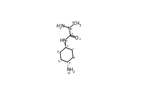 CN(N)C(=O)N[C@H]1CC[C@H](N)CC1